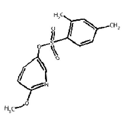 COc1ccc(OS(=O)(=O)c2ccc(C)cc2C)cn1